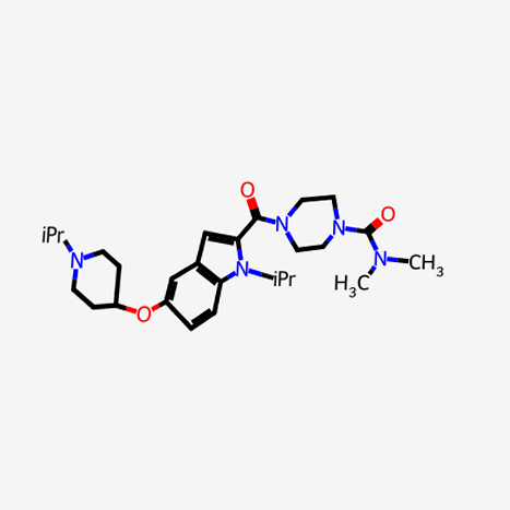 CC(C)N1CCC(Oc2ccc3c(c2)cc(C(=O)N2CCN(C(=O)N(C)C)CC2)n3C(C)C)CC1